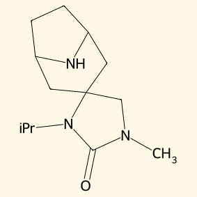 CC(C)N1C(=O)N(C)CC12CC1CCC(C2)N1